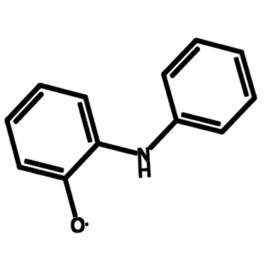 [O]c1ccccc1Nc1ccccc1